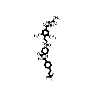 CC(=O)NNC(=O)c1cc(C)c(CCS(=O)(=O)N2CCC3(CC2)N=C(C2CCC(CCC(F)(F)F)CC2)NC3=O)c(C)c1